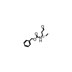 CC[C@@H](CC=O)NC(=O)OCc1ccccc1